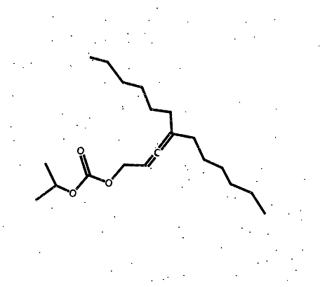 CCCCCCC(=C=CCOC(=O)OC(C)C)CCCCCC